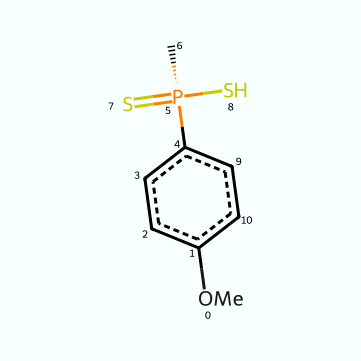 COc1ccc([P@@](C)(=S)S)cc1